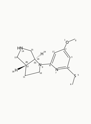 COc1cc(SC)nc(N2CC[C@@H]3CNC[C@H]32)c1